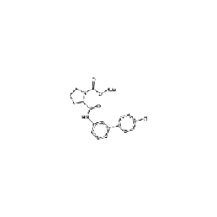 CC(C)(C)OC(=O)N1CCCC1C(=O)Nc1cccc(-c2ccc(Cl)cc2)c1